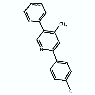 Cc1cc(-c2ccc(Cl)cc2)ncc1-c1ccccc1